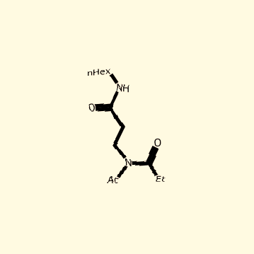 CCCCCCNC(=O)CCN(C(C)=O)C(=O)CC